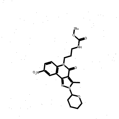 Cc1c2c(=O)n(CCCNC(=O)OC(C)(C)C)c3ccc([N+](=O)[O-])cc3c2nn1C1CCCCO1